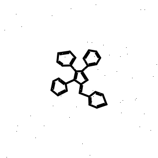 C1=C(c2ccccc2)C(c2ccccc2)=C(c2ccccc2)/C1=C/c1ccccc1